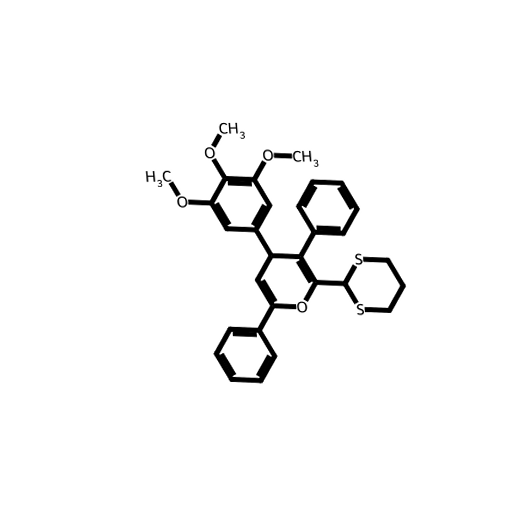 COc1cc(C2C=C(c3ccccc3)OC(C3SCCCS3)=C2c2ccccc2)cc(OC)c1OC